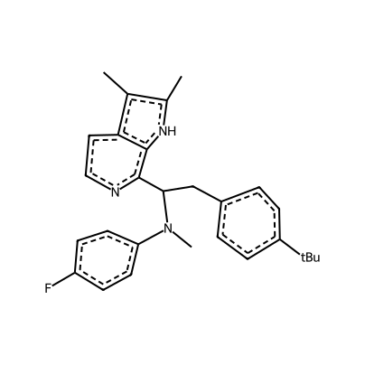 Cc1[nH]c2c(C(Cc3ccc(C(C)(C)C)cc3)N(C)c3ccc(F)cc3)nccc2c1C